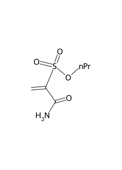 C=C(C(N)=O)S(=O)(=O)OCCC